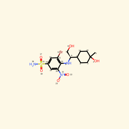 CC1(O)CCC([C@H](CO)Nc2c(Br)cc(S(N)(=O)=O)cc2[N+](=O)[O-])CC1